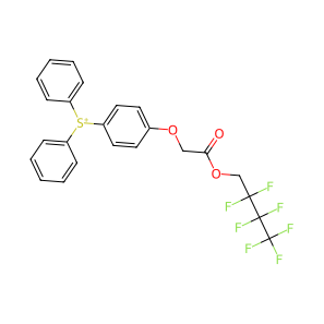 O=C(COc1ccc([S+](c2ccccc2)c2ccccc2)cc1)OCC(F)(F)C(F)(F)C(F)(F)F